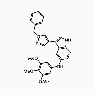 COc1cc(Nc2cnc3[nH]cc(-c4cnn(Cc5ccccc5)c4)c3c2)cc(OC)c1OC